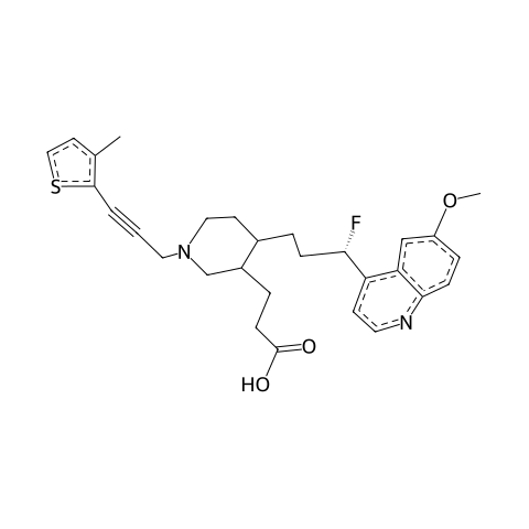 COc1ccc2nccc([C@@H](F)CCC3CCN(CC#Cc4sccc4C)CC3CCC(=O)O)c2c1